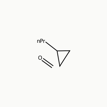 C=O.CCCC1CC1